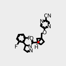 N#Cc1cnc(OCC23CC(C2)[C@@H](C(=O)N2N=CCC2c2c(F)cccc2F)C3)cn1